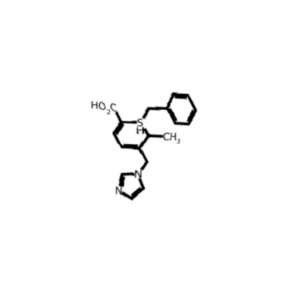 CC1C(Cn2ccnc2)=CC=C(C(=O)O)[SH]1Cc1ccccc1